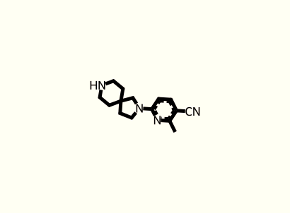 Cc1nc(N2CCC3(CCNCC3)C2)ccc1C#N